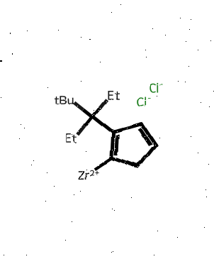 CCC(CC)(C1=[C]([Zr+2])CC=C1)C(C)(C)C.[Cl-].[Cl-]